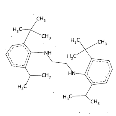 CC(C)c1cccc(C(C)(C)C)c1NCCNc1c(C(C)C)cccc1C(C)(C)C